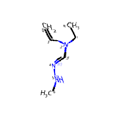 C=CN(/C=N/NC)CC